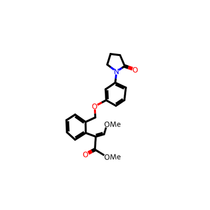 CO/C=C(/C(=O)OC)c1ccccc1COc1cccc(N2CCCC2=O)c1